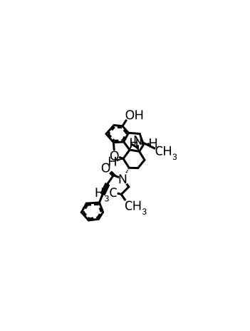 CC(C)CN(C(=O)C#Cc1ccccc1)[C@H]1CC[C@H]2[C@H]3Cc4c(O)ccc5c4[C@@]2(CCN3C)[C@H]1O5